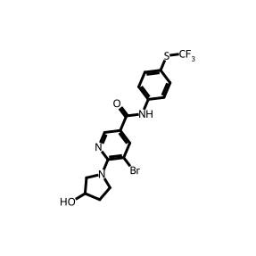 O=C(Nc1ccc(SC(F)(F)F)cc1)c1cnc(N2CCC(O)C2)c(Br)c1